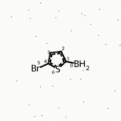 Bc1ccc(Br)s1